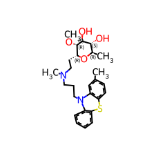 CO[C@@H]1[C@@H](O)[C@H](O)[C@@H](C)O[C@@H]1CCN(C)CCCN1c2ccccc2Sc2ccc(C)cc21